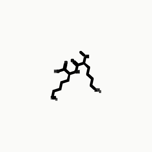 CN[C@@H](CCCCN)C(=O)N[C@@H](CCCCN)C(=O)O